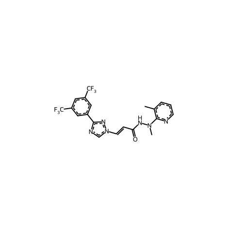 Cc1cccnc1N(C)NC(=O)C=Cn1cnc(-c2cc(C(F)(F)F)cc(C(F)(F)F)c2)n1